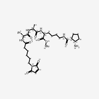 CC(C)[C@H](NC(=O)CCCCCN1C(=O)C=CC1=O)C(=O)N[C@@H](C)C(=O)N[C@@H](CCCCNC(=O)[C@@H]1CCC[C@@H]1N)C(=O)OC(C)(C)C